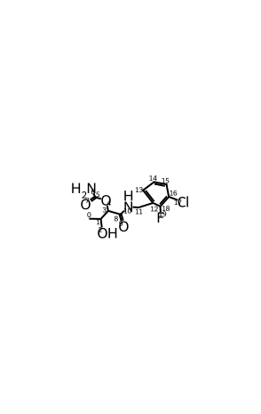 CC(O)C(OC(N)=O)C(=O)NCc1cccc(Cl)c1F